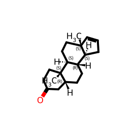 C[C@]12CCC(=O)C[C@H]1CC[C@@H]1[C@@H]2CC[C@]2(C)C=CC[C@@H]12